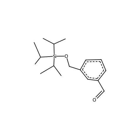 CC(C)[Si](OCc1cccc(C=O)c1)(C(C)C)C(C)C